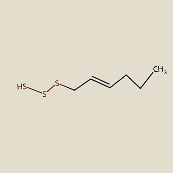 CCCC=CCSSS